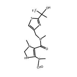 CN(C=O)C1=C(C(=O)N(C)Cc2csc(C(C)(O)C(F)(F)F)n2)N(C)CN1